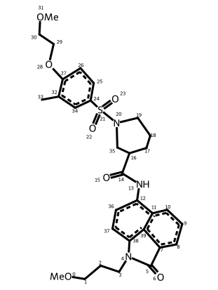 COCCCN1C(=O)c2cccc3c(NC(=O)C4CCCN(S(=O)(=O)c5ccc(OCCOC)c(C)c5)C4)ccc1c23